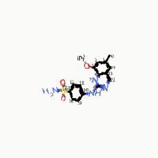 Cc1cc(OC(C)C)c2nc(Nc3ccc(S(N)(=O)=O)cc3)ncc2c1